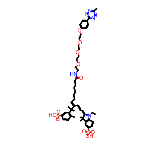 CCN1/C(=C/C=C/C(=C\CCCCCCC(=O)NCCOCCOCCOCCOc2ccc(-c3nnc(C)nn3)cc2)C(C)(C)c2cc(S(=O)(=O)O)ccc2C)C(C)(C)c2cc(S(=O)(=O)O)ccc21